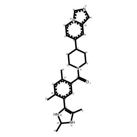 CC1=C(c2cc(C(=O)N3CCC(c4ccn5cncc5c4)CC3)c(C)cc2C)NC(C)N1